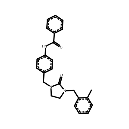 Cc1ccccc1CN1CCN(Cc2ccc(NC(=O)c3ccccc3)cc2)C1=O